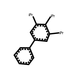 CC(C)c1[c]c(-c2[c]cccc2)cc(C(C)C)c1C(C)C